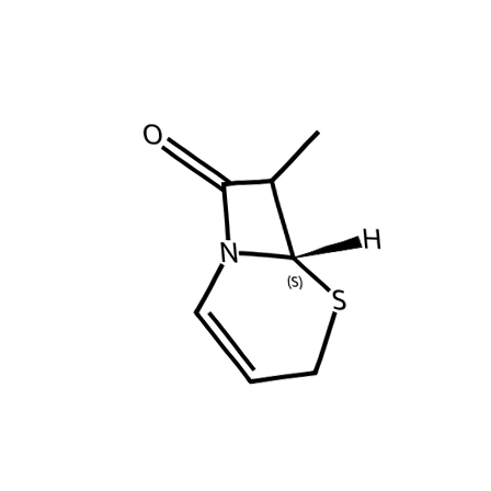 CC1C(=O)N2C=CCS[C@@H]12